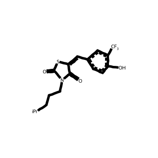 CC(C)CCCN1C(=O)S/C(=C/c2ccc(O)c(C(F)(F)F)c2)C1=O